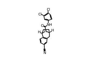 N#Cc1ccc2c(c1)C[C@H]1CC[C@@H]2N1C(=O)Nc1ccc(Cl)c(Cl)c1